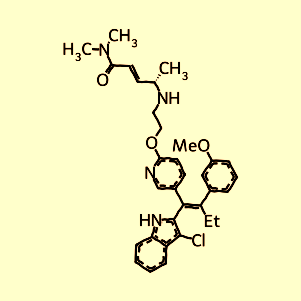 CC/C(=C(/c1ccc(OCCN[C@@H](C)/C=C/C(=O)N(C)C)nc1)c1[nH]c2ccccc2c1Cl)c1cccc(OC)c1